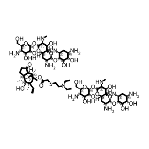 C=C[C@]1(C)C[C@@H](OC(=O)CSCCN(CC)CC)[C@@]2(C)C(C)CC[C@]3(CCC(=O)[C@H]32)[C@@H](C)[C@@H]1O.CN[C@@H]1[C@@H](O[C@H]2O[C@H](CO)[C@@H](N)[C@H](O)[C@H]2O)O[C@H]2C[C@@H](N)[C@@H](O[C@H]3[C@H](O)[C@@H](O)[C@H](N)C[C@@H]3N)O[C@@H]2[C@@H]1O.CN[C@@H]1[C@@H](O[C@H]2O[C@H](CO)[C@@H](N)[C@H](O)[C@H]2O)O[C@H]2C[C@@H](N)[C@@H](O[C@H]3[C@H](O)[C@@H](O)[C@H](N)C[C@@H]3N)O[C@@H]2[C@@H]1O